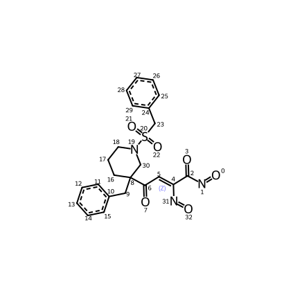 O=NC(=O)/C(=C/C(=O)C1(Cc2ccccc2)CCCN(S(=O)(=O)Cc2ccccc2)C1)N=O